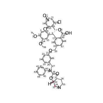 COc1ccc([C@H](Cc2c(Cl)c[n+]([O-])cc2Cl)c2cc(COc3cccc(CN(C(=O)O[C@H]4CN5CCC4CC5)c4ccccc4)c3)ccc2C(=O)O)cc1OC